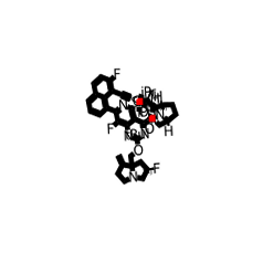 C=C1CCN2C[C@H](F)CC12COc1nc2c3c(nc(-c4cccc5ccc(F)c(C#C[Si](C(C)C)(C(C)C)C(C)C)c45)c(F)c3n1)O[C@@H](C)[C@@H]1[C@@H]3CC[C@H](CN21)N3C(=O)OC(C)(C)C